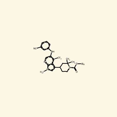 Cn1cc(C2CCN(C(=O)OC(C)(C)C)C(C)(C)C2)c2c(C(F)(F)F)c(Nc3cccc(C#N)c3)cnc21